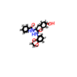 O=C(NC(CC1=CC=C(O)CC1)C(=O)Nc1cccc2c1OCCO2)c1ccccc1